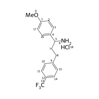 COc1ccc(C(N)CCc2ccc(C(F)(F)F)cc2)cc1.Cl